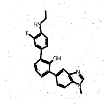 CCNc1ccc(-c2cccc(-c3ccc4c(c3)ncn4C)c2O)cc1F